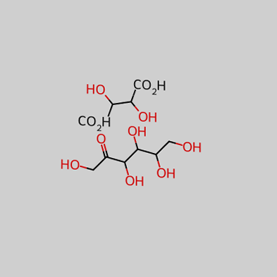 O=C(CO)C(O)C(O)C(O)CO.O=C(O)C(O)C(O)C(=O)O